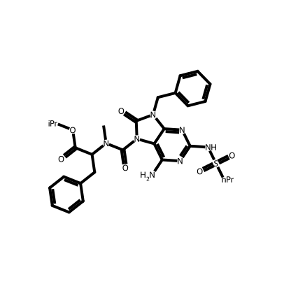 CCCS(=O)(=O)Nc1nc(N)c2c(n1)n(Cc1ccccc1)c(=O)n2C(=O)N(C)C(Cc1ccccc1)C(=O)OC(C)C